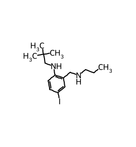 CCCNCc1cc(I)ccc1NCC(C)(C)C